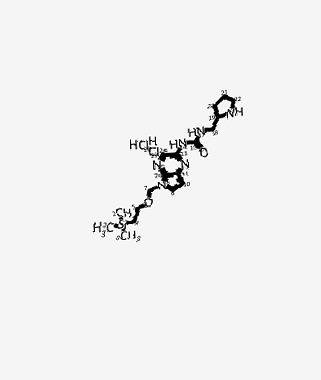 C[Si](C)(C)CCOCn1ccc2nc(NC(=O)NCC3CCCN3)cnc21.Cl.Cl